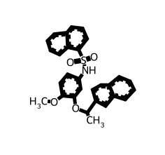 COc1ccc(NS(=O)(=O)c2cccc3ccccc23)cc1OC(C)c1ccc2ccccc2c1